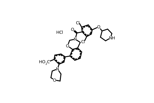 Cl.O=C(O)c1ccc(-c2cccc3c2OCN(C(=O)c2c(Cl)cc(OC4CCNCC4)cc2Cl)C3)cc1N1CCOCC1